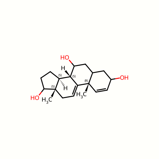 C[C@]12C=CC(O)CC1CC(O)[C@@H]1C2=CC[C@]2(C)C(O)CC[C@@H]12